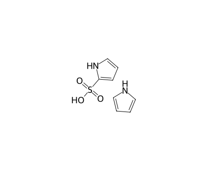 O=S(=O)(O)c1ccc[nH]1.c1cc[nH]c1